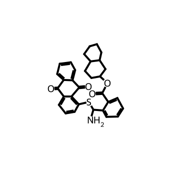 NC(Sc1cccc2c1C(=O)c1ccccc1C2=O)c1ccccc1C(=O)OC1CCC2CCCCC2C1